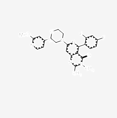 COc1cc([C@@H]2CN(c3cc4nc(C)n(C)c(=O)c4c(-c4ccc(F)cc4F)n3)CCO2)ccn1